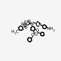 Cc1ccc(S(=O)(=O)N(C)CC(=O)N(CC2CCN(c3ccc(N)cc3)CC2)c2ccc(C(=O)OCc3ccccc3)c(OCc3ccccc3)c2)cc1